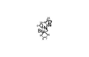 COCN(Sc1ccccc1Br)c1noc(C)c1C